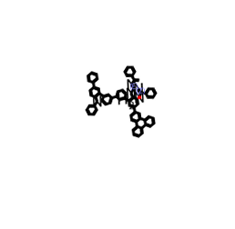 C=C(/N=C(\N=C(/N)c1ccccc1)n1c2ccc(-c3ccc4c5ccccc5c5ccccc5c4c3)cc2c2cc(-c3ccc4c(c3)c3cc(-c5ccccc5)ccc3n4-c3ccccc3)ccc21)c1ccccc1